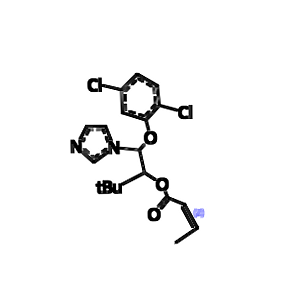 C/C=C\C(=O)OC(C(Oc1cc(Cl)ccc1Cl)n1ccnc1)C(C)(C)C